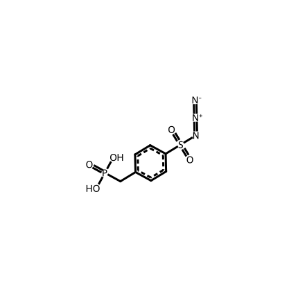 [N-]=[N+]=NS(=O)(=O)c1ccc(CP(=O)(O)O)cc1